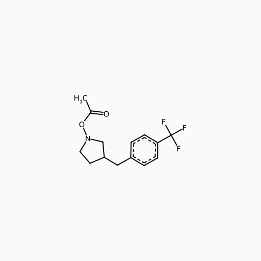 CC(=O)ON1CCC(Cc2ccc(C(F)(F)F)cc2)C1